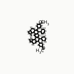 COc1ccc(-c2c(-c3ccccc3)c3cc4c(-c5ccccc5)c(-c5ccc(OC)cc5)c5ccc6ccsc6c5c4cc3c3c2ccc2ccsc23)cc1